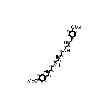 COc1ccc(CNCCNCCNCCNCCNCc2ccc(OC)cc2)cc1